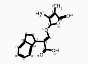 CC1=C(C)C(O/C=C(/C(=O)O)C2CCc3ccccc32)OC1=O